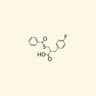 O=C(SCC(Cc1ccc(F)cc1)C(=O)O)c1ccccc1